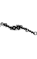 CCCCCCCOCCCCOc1cnc(-c2ccc(OCCCCOCCC)cc2)nc1